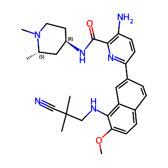 COc1ccc2ccc(-c3ccc(N)c(C(=O)N[C@@H]4CCN(C)[C@@H](C)C4)n3)cc2c1NCC(C)(C)C#N